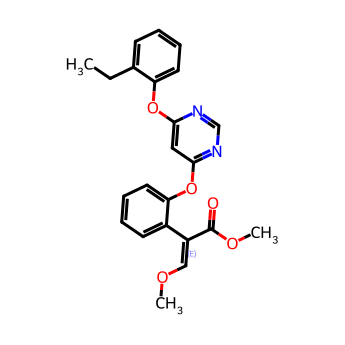 CCc1ccccc1Oc1cc(Oc2ccccc2/C(=C\OC)C(=O)OC)ncn1